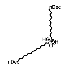 CCCCCCCCCCCCCCCCCCCCCCCC[N+](O)(O)CCCCCCCCCCCCCCCCCCCCCC.[Cl-]